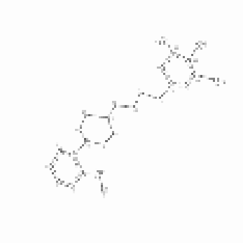 CCNc1cccnc1N1CCN(CCCCc2cc(C)c(O)c(C)c2)CC1